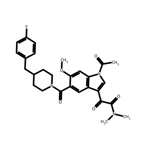 COc1cc2c(cc1C(=O)N1CCC(Cc3ccc(F)cc3)CC1)c(C(=O)C(=O)N(C)C)cn2C(C)=O